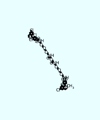 CN1CCc2cc(Cl)cc(Cl)c2C1c1ccc(S(=O)(=O)NCCOCCOCCOCCNC(=O)COCC(=O)NCCOCCOCCOCCNS(=O)(=O)c2ccc(C3c4c(Cl)cc(Cl)cc4CCN3C)cc2)cc1